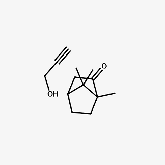 C#CCO.CC12CCC(CC1=O)C2(C)C